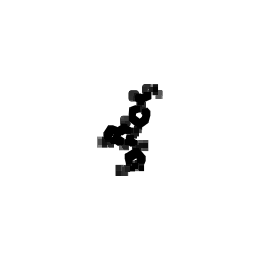 C=CC(=O)N1CC[C@@H](F)[C@H](Oc2nc(Nc3cnn(CC)c3)nc3[nH]ccc23)C1